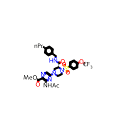 CCCc1ccc(CNC(=O)[C@H]2CN(c3cnc(C(=O)OC)c(NC(C)=O)n3)CCN2S(=O)(=O)c2ccc(OC(F)(F)F)cc2)cc1